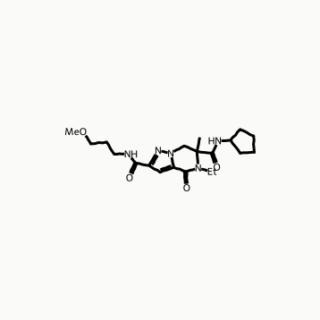 CCN1C(=O)c2cc(C(=O)NCCCOC)nn2CC1(C)C(=O)NC1CCCC1